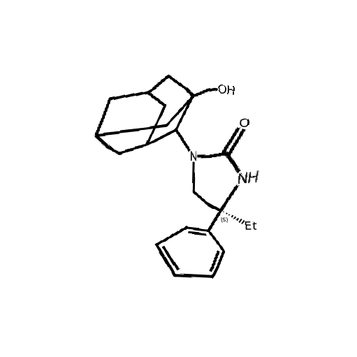 CC[C@]1(c2ccccc2)CN(C2C3CC4CC(C3)CC2(O)C4)C(=O)N1